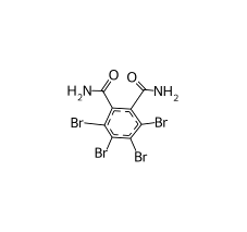 NC(=O)c1c(Br)c(Br)c(Br)c(Br)c1C(N)=O